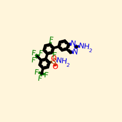 Nc1ncc2cc(-c3c(F)ccc(-c4c(C(F)(F)F)cc(C(F)(F)F)cc4S(N)(=O)=O)c3F)ccc2n1